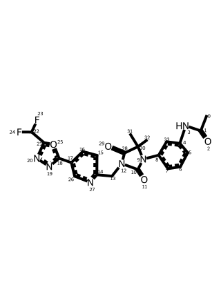 CC(=O)Nc1cccc(N2C(=O)N(Cc3ccc(-c4nnc(C(F)F)o4)cn3)C(=O)C2(C)C)c1